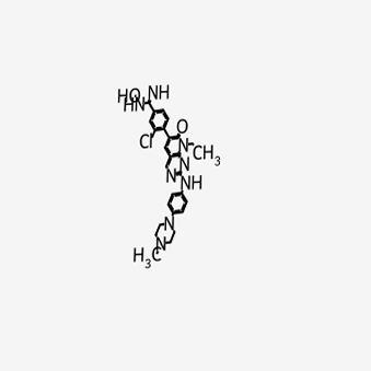 CCn1c(=O)c(-c2ccc(C(=N)NO)cc2Cl)cc2cnc(Nc3ccc(N4CCN(C)CC4)cc3)nc21